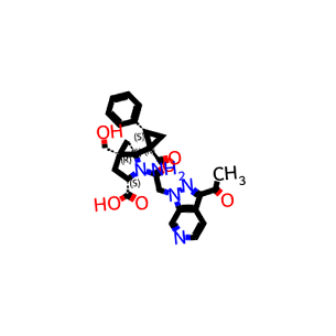 CC(=O)c1nn(CC(=O)N2[C@H](C(=O)O)C[C@@]3(CO)C[C@]23[C@@]2(C(N)=O)C[C@H]2c2ccccc2)c2cnccc12